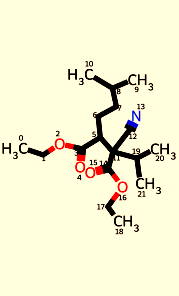 CCOC(=O)C(CCC(C)C)C(C#N)(C(=O)OCC)C(C)C